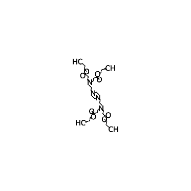 C#CCCOC(=O)CCN(CCCN1CCN(CCCN(CCC(=O)OCCC#C)CCC(=O)OCCC#C)CC1)CCC(=O)OCCC#C